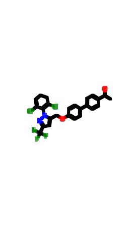 CC(=O)c1ccc(-c2ccc(OCc3cc(C(F)(F)F)nn3C3=C(Cl)CCC=C3Cl)cc2)cc1